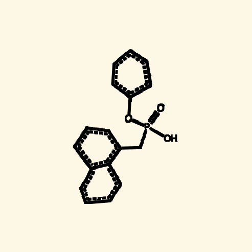 O=P(O)(Cc1cccc2ccccc12)Oc1ccccc1